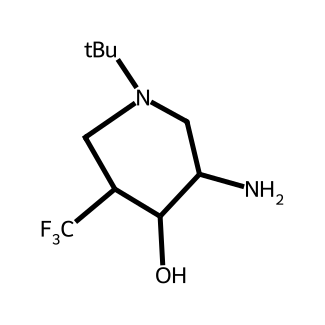 CC(C)(C)N1CC(N)C(O)C(C(F)(F)F)C1